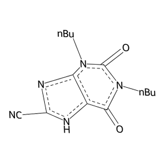 CCCCn1c(=O)c2[nH]c(C#N)nc2n(CCCC)c1=O